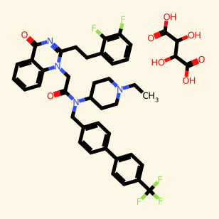 CCN1CCC(N(Cc2ccc(-c3ccc(C(F)(F)F)cc3)cc2)C(=O)Cn2c(CCc3cccc(F)c3F)nc(=O)c3ccccc32)CC1.O=C(O)C(O)C(O)C(=O)O